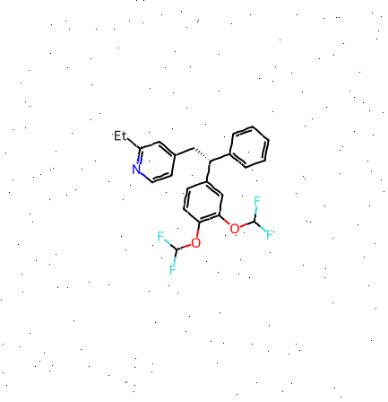 CCc1cc(C[C@H](c2ccccc2)c2ccc(OC(F)F)c(OC(F)F)c2)ccn1